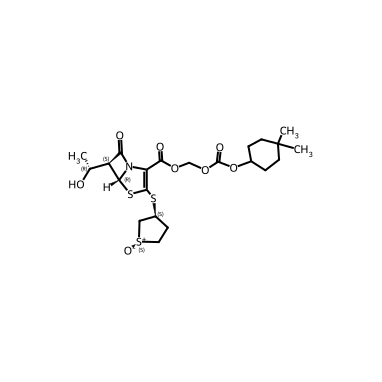 C[C@@H](O)[C@H]1C(=O)N2C(C(=O)OCOC(=O)OC3CCC(C)(C)CC3)=C(S[C@H]3CC[S@@+]([O-])C3)S[C@H]12